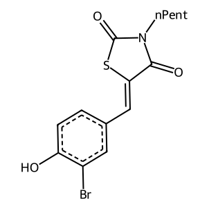 CCCCCN1C(=O)S/C(=C\c2ccc(O)c(Br)c2)C1=O